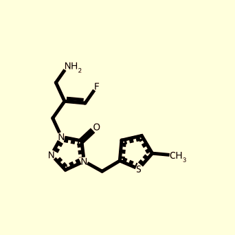 Cc1ccc(Cn2cnn(CC(=CF)CN)c2=O)s1